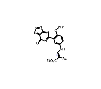 CCCOc1ccc(N/C=C(\C(C)=O)C(=O)OCC)cc1C1=NC(=O)C2=NN=NC2=N1